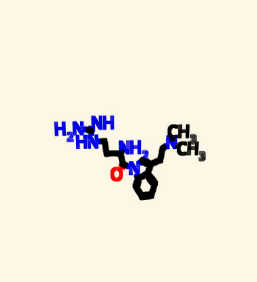 CN(C)CCc1cn(C(=O)C(N)CCNC(=N)N)c2ccccc12